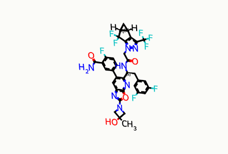 CC1(O)CN(c2nc3cc(-c4ccc(F)c(C(N)=O)c4)c([C@H](Cc4cc(F)cc(F)c4)NC(=O)Cn4nc(C(F)(F)F)c5c4C(F)(F)[C@@H]4C[C@H]54)nc3o2)C1